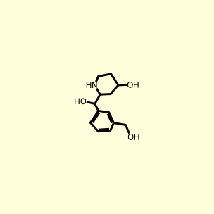 OCc1cccc(C(O)C2CC(O)CCN2)c1